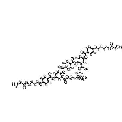 C=CC(=O)OCCCCOc1ccc(C(=O)Oc2ccc(OC(=O)C3CCC(C(=O)Oc4ccc(OC(=O)c5ccc(OCCCCOC(=O)C=C)cc5)cc4C(=O)OCCOC)CC3)c(C(=O)OCCOC)c2)cc1